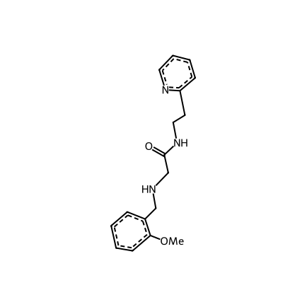 COc1ccccc1CNCC(=O)NCCc1ccccn1